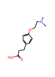 CN(C)CCOc1ccc(CCC(=O)O)cc1